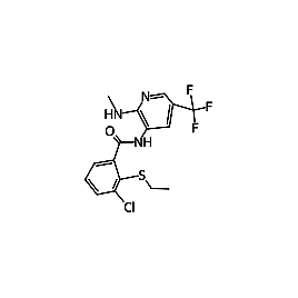 CCSc1c(Cl)cccc1C(=O)Nc1cc(C(F)(F)F)cnc1NC